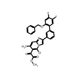 COC(=O)C(=O)c1c(C)cc2nc(-c3cccc(-c4cc(F)c(F)cc4OCc4ccccc4)c3)cn2c1Cl